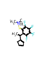 C=C(C1=CC=CC1)c1c(F)c(F)c(F)c(F)c1SN(C)C